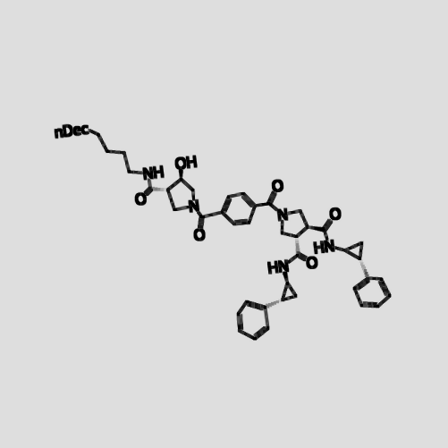 CCCCCCCCCCCCCCNC(=O)[C@H]1CN(C(=O)c2ccc(C(=O)N3C[C@@H](C(=O)NC4C[C@@H]4c4ccccc4)[C@H](C(=O)N[C@H]4C[C@@H]4c4ccccc4)C3)cc2)C[C@@H]1O